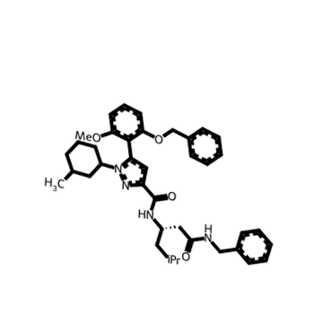 COc1cccc(OCc2ccccc2)c1-c1cc(C(=O)N[C@H](CC(=O)NCc2ccccc2)CC(C)C)nn1C1CCCC(C)C1